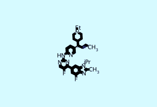 C/C=C/[C@@H](c1ccc(Nc2ncc(F)c(-c3cc(F)c4nc(C)n(C(C)C)c4c3)n2)nc1)C1CCN(CC)CC1